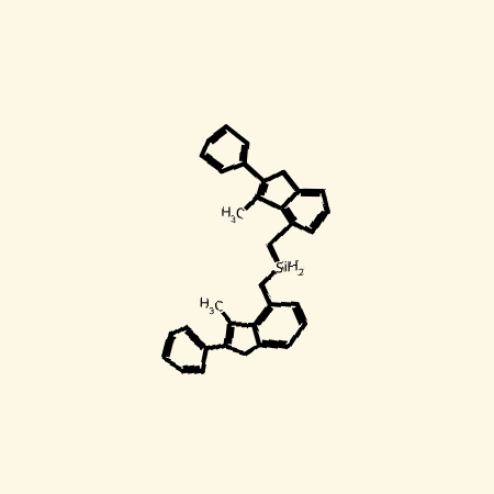 CC1=C(c2ccccc2)Cc2cccc(C[SiH2]Cc3cccc4c3C(C)=C(c3ccccc3)C4)c21